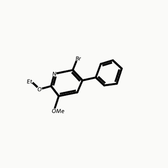 CCOc1nc(Br)c(-c2ccccc2)cc1OC